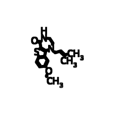 CCOc1ccc2sc3c(c2c1)N(CC=C(C)C)CCNC3=O